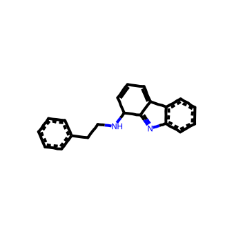 C1=CC(NCCc2ccccc2)C2=Nc3ccccc3C2=C1